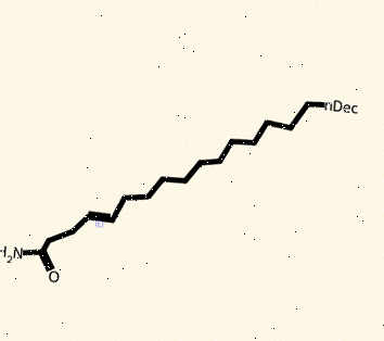 CCCCCCCCCCCCCCCCCCCCC/C=C/CCC(N)=O